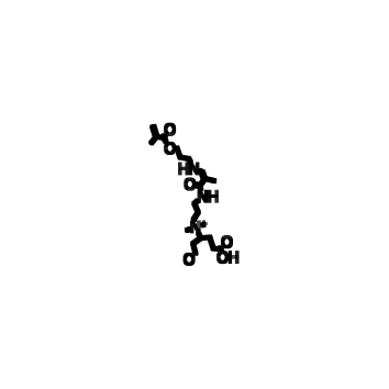 C=C(C)C(=O)OCCCNC=C(C)C(=O)NCCC[N+](C)(C)C(CC=O)CCC(=O)O